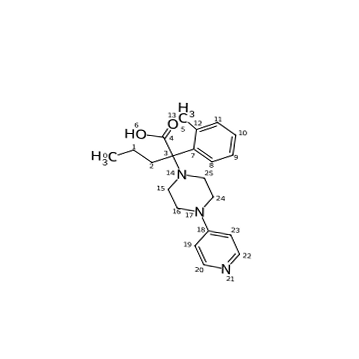 CCCC(C(=O)O)(c1ccccc1C)N1CCN(c2ccncc2)CC1